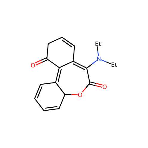 CCN(CC)C1=C2C=CCC(=O)C2=C2C=CC=CC2OC1=O